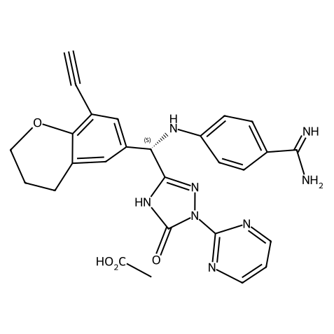 C#Cc1cc([C@H](Nc2ccc(C(=N)N)cc2)c2nn(-c3ncccn3)c(=O)[nH]2)cc2c1OCCC2.CC(=O)O